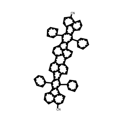 N#Cc1ccc2c3c(-c4ccccc4)c4c5ccc6c7ccc8c9c(-c%10ccccc%10)c%10c%11cccc%12c(C#N)ccc(c%10c(-c%10ccccc%10)c9c9ccc(c%10ccc(c4c(-c4ccccc4)c3c3cccc1c32)c5c%106)c7c89)c%12%11